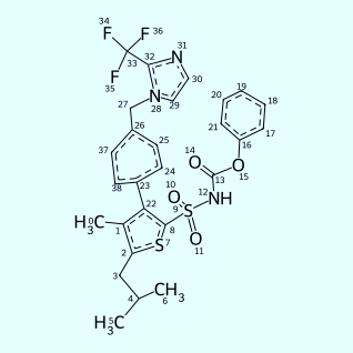 Cc1c(CC(C)C)sc(S(=O)(=O)NC(=O)Oc2ccccc2)c1-c1ccc(Cn2ccnc2C(F)(F)F)cc1